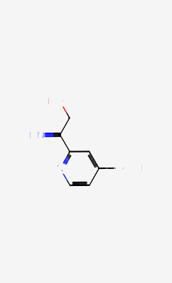 N=C(CO)c1cc(C(=O)O)ccn1